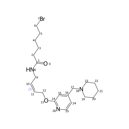 O=C(CCCCCBr)NC/C=C\COc1cc(CN2CCCCC2)ccn1